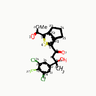 COC(=O)c1sc(C(=O)CC(C)(O)c2cc(Cl)c(F)c(Cl)c2)c2c1CCC2